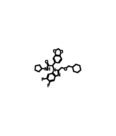 O=C(NC1CCCC1)C(c1ccc2c(c1)OCO2)n1c(COCC2CCCCC2)nc2cc(F)c(F)cc21